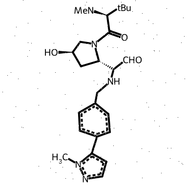 CN[C@H](C(=O)N1C[C@H](O)C[C@H]1C(C=O)NCc1ccc(-c2ccnn2C)cc1)C(C)(C)C